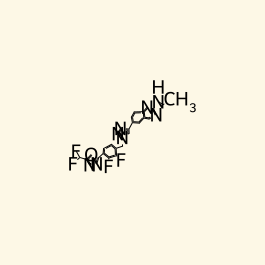 CCNc1ncc2cc(-c3cn(Cc4ccc(-c5nnc(C(F)F)o5)c(F)c4F)nn3)ccc2n1